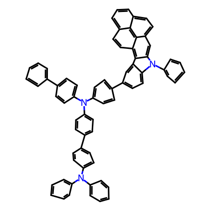 c1ccc(-c2ccc(N(c3ccc(-c4ccc(N(c5ccccc5)c5ccccc5)cc4)cc3)c3ccc(-c4ccc5c(c4)c4c6ccc7cccc8ccc(cc4n5-c4ccccc4)c6c87)cc3)cc2)cc1